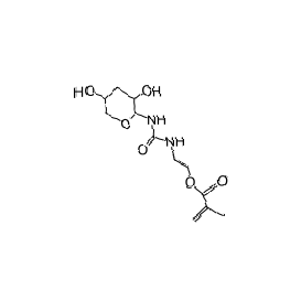 C=C(C)C(=O)OCCNC(=O)NC1OCC(O)CC1O